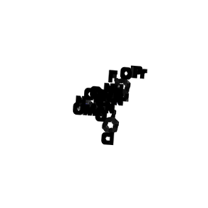 CCOC(=O)/C(Cn1c(=O)n(N)/c(=N\c2ccc(OC(C)C)c(F)c2)n(Cc2ccc(Cl)cc2)c1=O)=N/OC